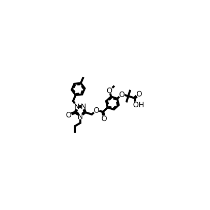 CCCn1c(COC(=O)c2ccc(OC(C)(C)C(=O)O)c(OC)c2)nn(Cc2ccc(C)cc2)c1=O